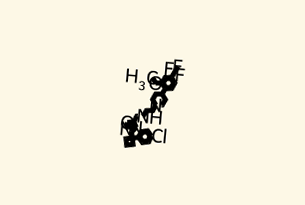 COc1cc(C(F)(F)F)ccc1C1CCN(CCNCc2nc(C3(c4ccc(Cl)cc4)CCC3)no2)CC1